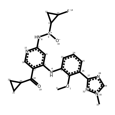 COc1c(Nc2cc(N[S+]([O-])C3CC3F)ncc2C(=O)C2CC2)cccc1-c1ncn(C)n1